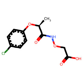 C[C@H](Oc1ccc(Cl)cc1)C(=O)NOCC(=O)O